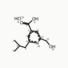 CC(C)Cc1cc(C(=O)O)cc(CO)n1.Cl